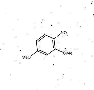 COc1c[c]c([N+](=O)[O-])c(OC)c1